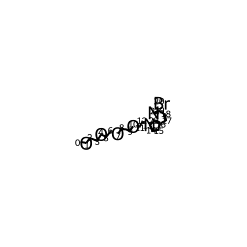 COCCOCCOCCOCCN1CCc2ccc(Br)nc21